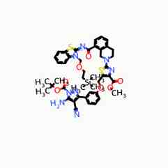 COC(=O)c1nc(N2CCc3cccc(C(=O)/N=c4/sc5ccccc5n4COCC[Si](C)(C)C)c3C2)sc1COc1cccc(-c2nn(C(=O)OC(C)(C)C)c(N)c2C#N)c1